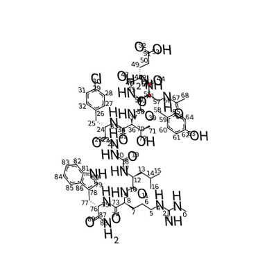 CNC(=N)NCCC[C@H](NC(=O)[C@H](CC(C)C)NC(=O)NNC(=O)[C@H](Cc1ccc(Cl)cc1)NC(=O)[C@@H](NC(=O)[C@H](CC(N)=O)NC(=O)[C@H](CCC(=O)O)NC(=O)[C@@H](Cc1ccc(O)cc1)NC(C)=O)[C@@H](C)O)C(=O)N[C@@H](Cc1c[nH]c2ccccc12)C(N)=O